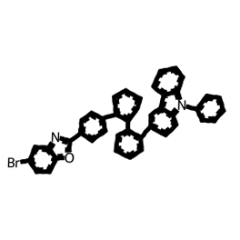 Brc1ccc2oc(-c3ccc(-c4ccccc4-c4ccccc4-c4ccc5c(c4)c4ccccc4n5-c4ccccc4)cc3)nc2c1